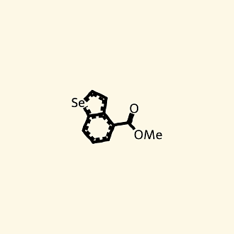 COC(=O)c1cccc2[se]ccc12